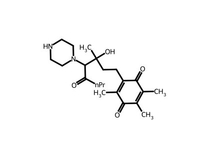 CCCC(=O)C(N1CCNCC1)C(C)(O)CCC1=C(C)C(=O)C(C)=C(C)C1=O